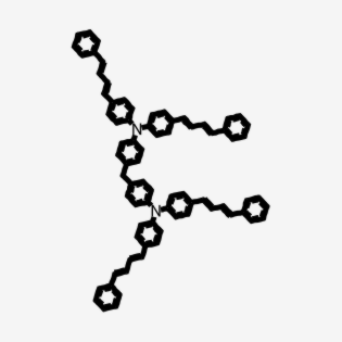 C(C=Cc1ccc(N(c2ccc(C=CC=Cc3ccccc3)cc2)c2ccc(Cc3ccc(N(c4ccc(C=CC=Cc5ccccc5)cc4)c4ccc(C=CC=Cc5ccccc5)cc4)cc3)cc2)cc1)=Cc1ccccc1